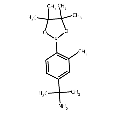 Cc1cc(C(C)(C)N)ccc1B1OC(C)(C)C(C)(C)O1